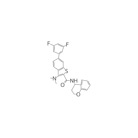 CN(C)c1c(C(=O)N[C@H]2CCOc3ccccc32)sc2cc(-c3cc(F)cc(F)c3)ccc12